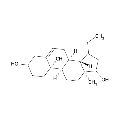 CCC1CC(O)[C@@]2(C)CC[C@@H]3[C@@H](CC=C4CC(O)CC[C@@]43C)[C@H]12